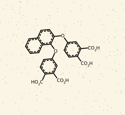 O=C(O)c1ccc(Oc2ccc3ccccc3c2Oc2ccc(C(=O)O)c(C(=O)O)c2)cc1C(=O)O